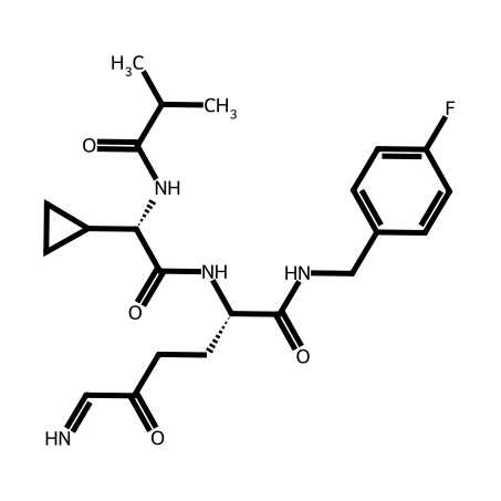 CC(C)C(=O)N[C@H](C(=O)N[C@@H](CCC(=O)C=N)C(=O)NCc1ccc(F)cc1)C1CC1